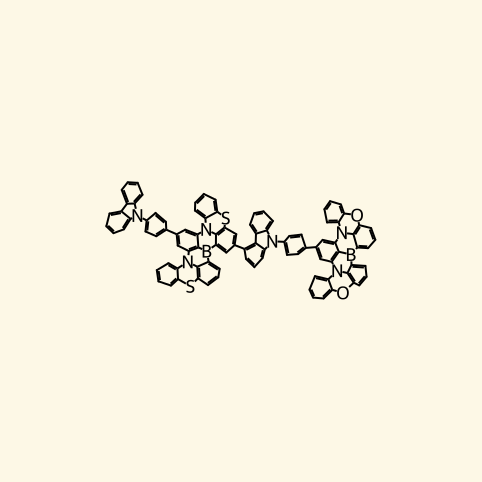 c1ccc2c(c1)Oc1cccc3c1N2c1cc(-c2ccc(-n4c5ccccc5c5c(-c6cc7c8c(c6)B6c9cccc%10c9N(c9ccccc9S%10)c9cc(-c%10ccc(-n%11c%12ccccc%12c%12ccccc%12%11)cc%10)cc(c96)N8c6ccccc6S7)cccc54)cc2)cc2c1B3c1cccc3c1N2c1ccccc1O3